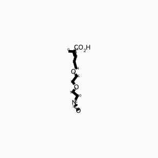 CC(=CCCOCCOCCN=C=O)C(=O)O